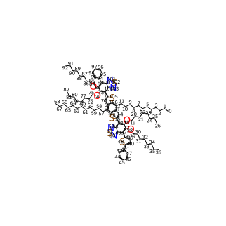 CCCCCCCCCCCCc1c2cc(-c3c(OCCCCCCCC)c(OCCCCCCCC)c(-c4ccc(-c5ccccc5)s4)c4nsnc34)sc2c(CCCCCCCCCCCC)c2cc(-c3c(OCCCCCCCC)c(OCCCCCCCC)c(-c4ccccc4)c4nsnc34)sc12